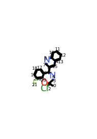 CC1(Cl)CN=C(c2cnc3ccccc3c2)c2cccc(F)c2O1